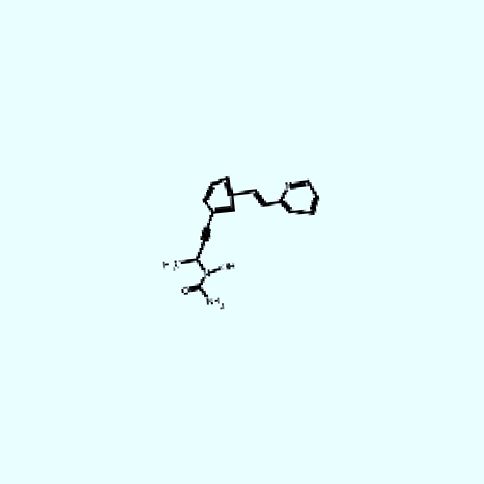 CC(C#Cc1cccc(/C=C/c2ccccn2)c1)N(O)C(N)=O